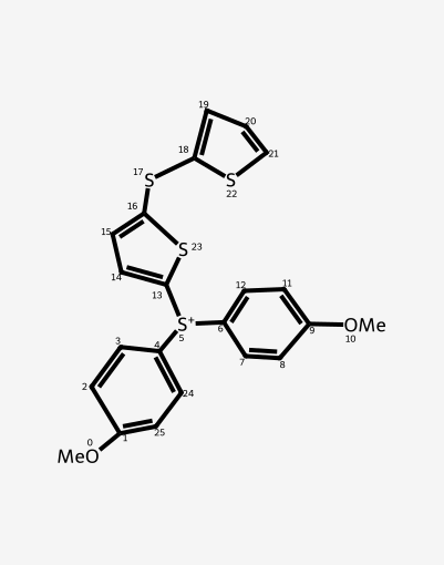 COc1ccc([S+](c2ccc(OC)cc2)c2ccc(Sc3cccs3)s2)cc1